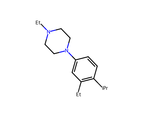 CCc1cc(N2CCN(CC)CC2)ccc1C(C)C